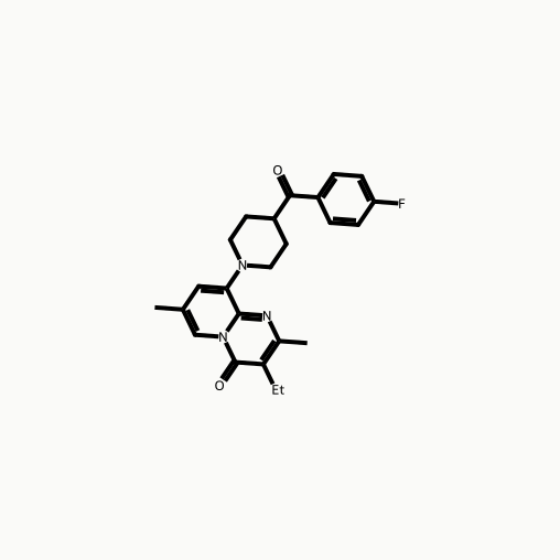 CCc1c(C)nc2c(N3CCC(C(=O)c4ccc(F)cc4)CC3)cc(C)cn2c1=O